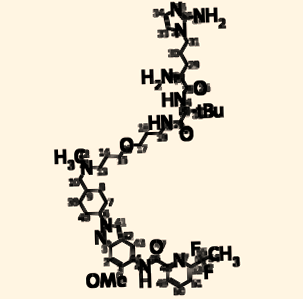 COc1cc2nn(C3CCC(CN(C)CCCOCCCNC(=O)[C@@H](NC(=O)[C@@H](N)CCCn4ccnc4N)C(C)(C)C)CC3)cc2cc1NC(=O)c1cccc(C(C)(F)F)n1